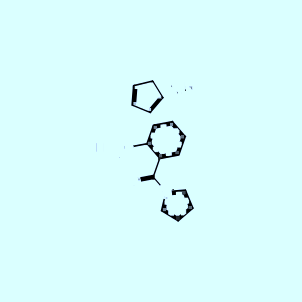 C1=CCC=C1.O=C(O)c1ccccc1C(=O)[c-]1cccc1.[Fe+2].[Na+]